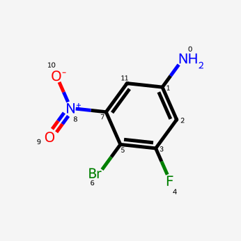 Nc1cc(F)c(Br)c([N+](=O)[O-])c1